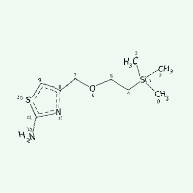 C[Si](C)(C)CCOCc1csc(N)n1